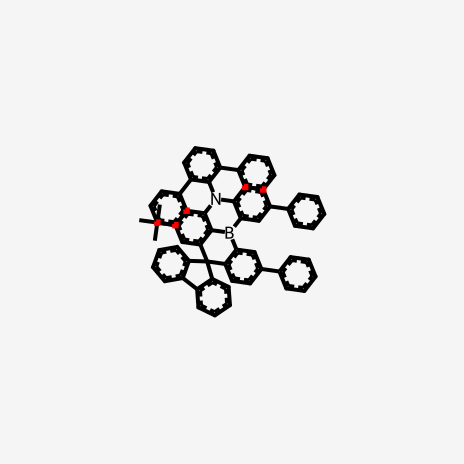 CC(C)(C)c1cc2c3c(c1)C1(c4ccc(-c5ccccc5)cc4B3c3cc(-c4ccccc4)ccc3N2c2c(-c3ccccc3)cccc2-c2ccccc2)c2ccccc2-c2ccccc21